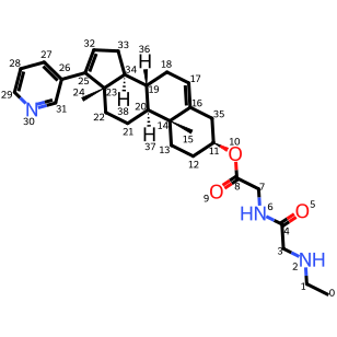 CCNCC(=O)NCC(=O)O[C@H]1CC[C@@]2(C)C(=CC[C@@H]3[C@@H]2CC[C@]2(C)C(c4cccnc4)=CC[C@@H]32)C1